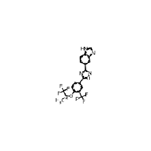 C[C@@H](Oc1ccc(-c2nc(-c3ccc4[nH]cnc4c3)no2)cc1C(F)(F)F)C(F)(F)F